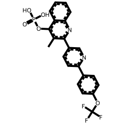 Cc1c(-c2ccc(-c3ccc(OC(F)(F)F)cc3)nc2)nc2ccccc2c1OP(=O)(O)O